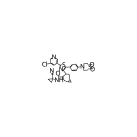 N#CC1(NC(=O)[C@H]2CC3CC3CC2c2nc(-c3cncc(Cl)c3)sc2-c2ccc(N3CCS(=O)(=O)CC3)cc2)CC1